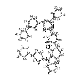 c1ccc(-c2ccc(-n3c4ccccc4c4ccc5c6ccc(-c7nc(-c8ccccc8)nc(-c8cccc(-c9ccccc9)c8)n7)cc6oc5c43)cc2)cc1